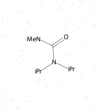 C[N]C(=O)N(C(C)C)C(C)C